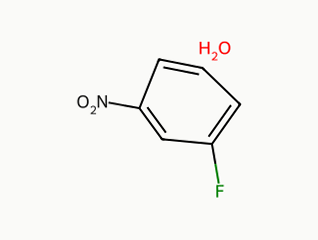 O.O=[N+]([O-])c1cccc(F)c1